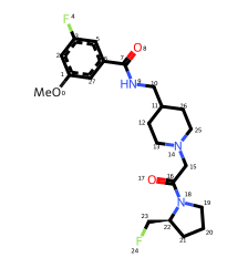 COc1cc(F)cc(C(=O)NCC2CCN(CC(=O)N3CCC[C@H]3CF)CC2)c1